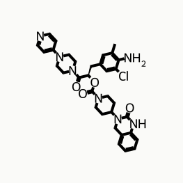 Cc1cc(C[C@@H](OC(=O)N2CCC(N3Cc4ccccc4NC3=O)CC2)C(=O)N2CCN(c3ccncc3)CC2)cc(Cl)c1N